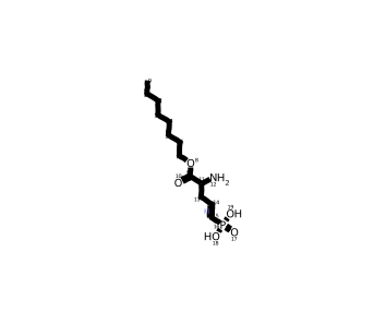 CCCCCCCCOC(=O)C(N)C/C=C/P(=O)(O)O